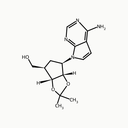 CC1(C)O[C@@H]2[C@@H](CO)C[C@@H](n3ccc4c(N)ncnc43)[C@@H]2O1